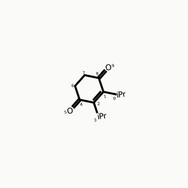 CC(C)C1=C(C(C)C)C(=O)CCC1=O